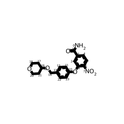 NC(=O)c1ccc([N+](=O)[O-])c(Oc2ccc(COC3CCOCC3)cc2)c1